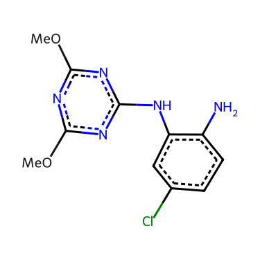 COc1nc(Nc2cc(Cl)ccc2N)nc(OC)n1